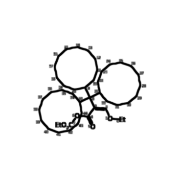 CCOC=C(C(=O)OC(=O)OCC)C(C1CCCCCCCCCCC1)(C1CCCCCCCCCCC1)C1CCCCCCCCCCC1